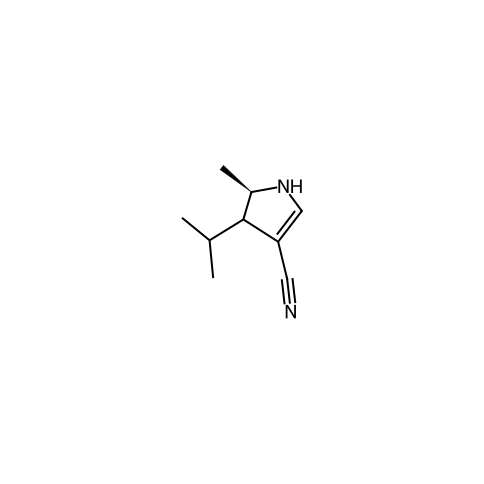 CC(C)C1C(C#N)=CN[C@@H]1C